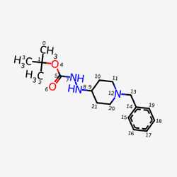 CC(C)(C)OC(=O)NNC1CCN(Cc2ccccc2)CC1